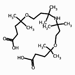 CC(C)(CCOC(C)(C)CCC(=O)O)NC(C)(C)CCOC(C)(C)CCC(=O)O